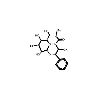 CC(NC(=O)OC(C)(C)C)[C@@H](O[C@@H]1O[C@H](CO)[C@H](O)[C@H](O)[C@H]1O)c1ccccc1